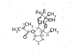 C=C(C)C(=O)OC1CCCC1C(CC)(CC)OCC(C)(O)C(F)(F)F